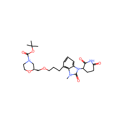 Cn1c(=O)n(C2CCC(=O)NC2=O)c2cccc(CCCOC[C@@H]3CN(C(=O)OC(C)(C)C)CCO3)c21